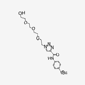 CC(C)(C)c1ccc(NC(=O)c2cn(CCOCCOCCOCCO)nn2)cc1